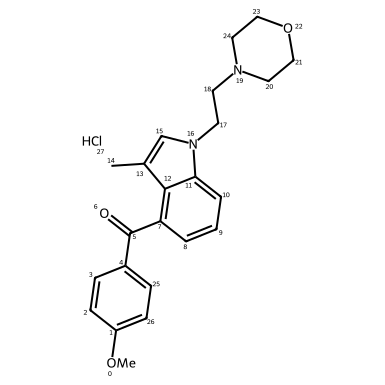 COc1ccc(C(=O)c2cccc3c2c(C)cn3CCN2CCOCC2)cc1.Cl